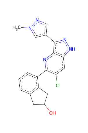 Cn1cc(-c2n[nH]c3cc(Cl)c(-c4cccc5c4CC(O)C5)nc23)cn1